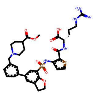 COC(=O)C1CCN(Cc2cccc(-c3cc4c(c(S(=O)(=O)Nc5ccsc5C(=O)N[C@@H](CCCNC(=N)N)C(=O)O)c3)OCC4)c2)CC1